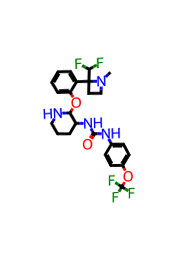 CN1CCC1(c1ccccc1OC1NCCCC1NC(=O)Nc1ccc(OC(F)(F)F)cc1)C(F)F